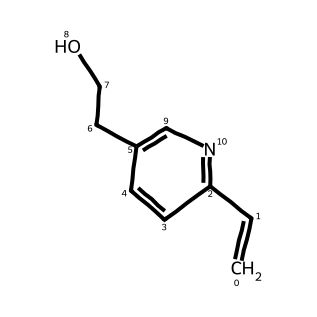 C=Cc1ccc(CCO)cn1